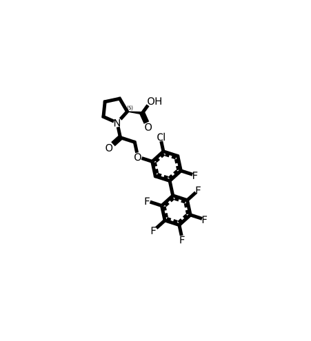 O=C(O)[C@@H]1CCCN1C(=O)COc1cc(-c2c(F)c(F)c(F)c(F)c2F)c(F)cc1Cl